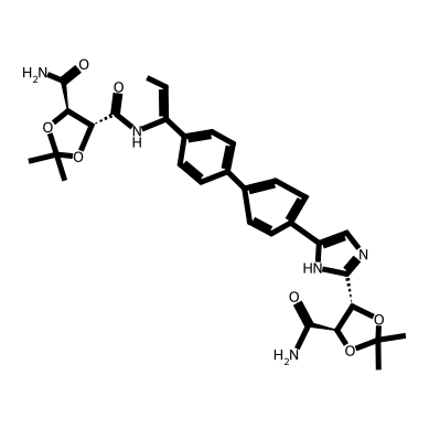 C/C=C(\NC(=O)[C@@H]1OC(C)(C)O[C@H]1C(N)=O)c1ccc(-c2ccc(-c3cnc([C@@H]4OC(C)(C)O[C@H]4C(N)=O)[nH]3)cc2)cc1